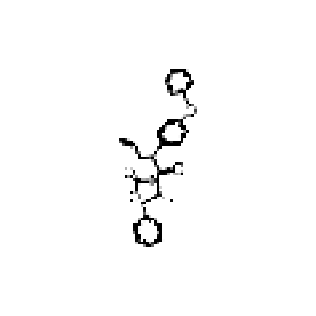 C=CCC(C(=O)N1C(=O)O[C@H](c2ccccc2)[C@H]1C)c1ccc(Oc2ccccc2)cc1